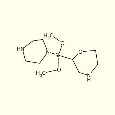 CO[Si](OC)(C1CNCCO1)N1CCNCC1